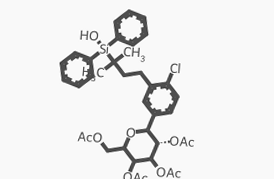 CC(=O)OCC1OC(c2ccc(Cl)c(CCC(C)(C)[Si](O)(c3ccccc3)c3ccccc3)c2)[C@H](OC(C)=O)C(OC(C)=O)C1OC(C)=O